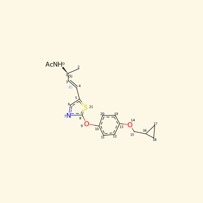 CC(=O)N[C@@H](C)/C=C/c1cnc(Oc2ccc(OCC3CC3)cc2)s1